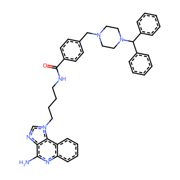 Nc1nc2ccccc2c2c1ncn2CCCCNC(=O)c1ccc(CN2CCN(C(c3ccccc3)c3ccccc3)CC2)cc1